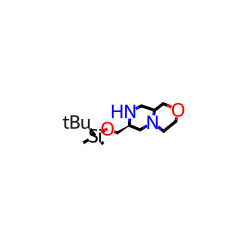 CC(C)(C)[Si](C)(C)OC[C@@H]1CN2CCOCC2CN1